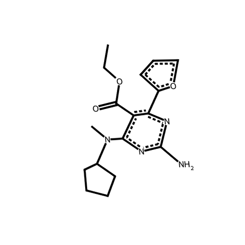 CCOC(=O)c1c(-c2ccco2)nc(N)nc1N(C)C1CCCC1